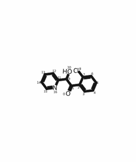 O=C(c1ccccc1Cl)C(O)c1ccccn1